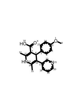 COc1ccc(C2C(C(=O)O)=C(C)NC(C)=C2c2cccnc2)cc1